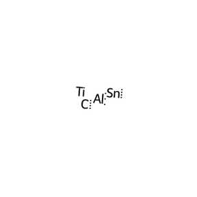 [Al].[C].[Sn].[Ti]